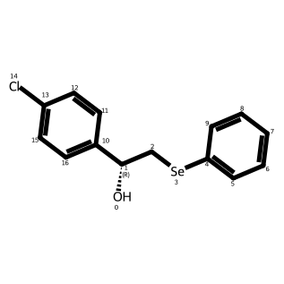 O[C@@H](C[Se]c1ccccc1)c1ccc(Cl)cc1